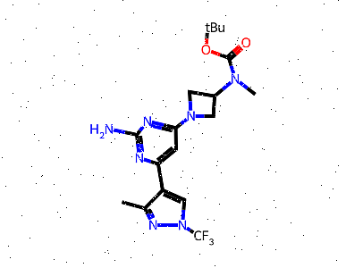 Cc1nn(C(F)(F)F)cc1-c1cc(N2CC(N(C)C(=O)OC(C)(C)C)C2)nc(N)n1